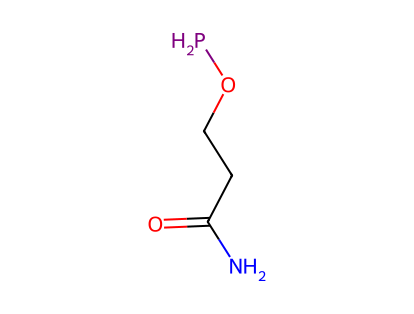 NC(=O)CCOP